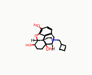 Oc1ccc2c3c1O[C@H]1C(O)CC[C@@]4(O)[C@@H](C2)N(CC2CCC2)CC[C@]314